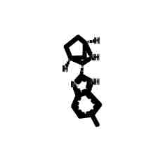 Cc1ccc2nc([C@H]3N[C@@H]4CC[C@H]3C4)[nH]c2c1